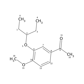 CCC(CC)Oc1cc(C(C)=O)ccc1OC